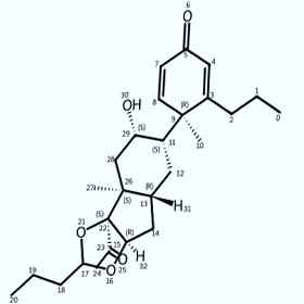 CCCC1=CC(=O)C=C[C@]1(C)[C@@H]1C[C@@H]2C[C@H]3OC(CCC)O[C@@]3(C(C)=O)[C@@]2(C)C[C@@H]1O